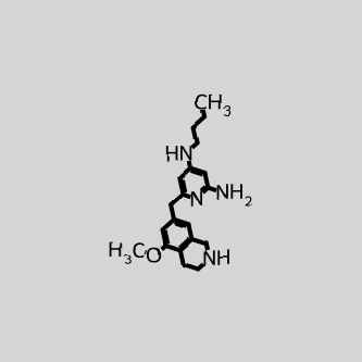 CCCCNc1cc(N)nc(Cc2cc3c(c(OC)c2)CCNC3)c1